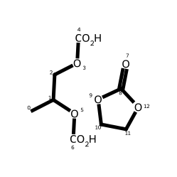 CC(COC(=O)O)OC(=O)O.O=C1OCCO1